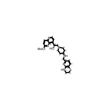 COc1ccc2nccc([C@@H](O)CN3CCC(NCc4ccc5c(n4)NCCS5)CC3)c2n1